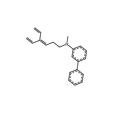 C=CC(C=C)=CCCN(C)c1cccc(-c2ccccc2)c1